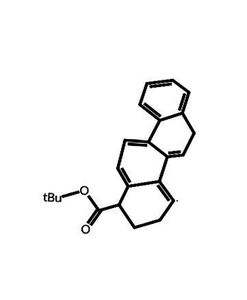 CC(C)(C)OC(=O)C1CC[C]=c2c1ccc1c2=CCc2ccccc2-1